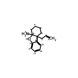 C=CCC12CCCCC1(N)Oc1ccccc12